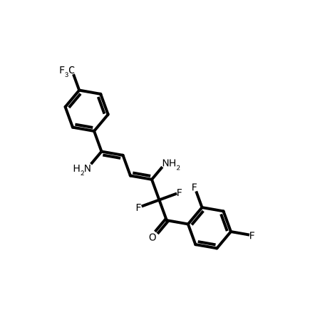 N/C(=C\C=C(/N)C(F)(F)C(=O)c1ccc(F)cc1F)c1ccc(C(F)(F)F)cc1